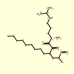 CCCCCCCCCC(CC(C)N=O)C(=O)C(=O)[C@@H](N)CCCNC(N)N